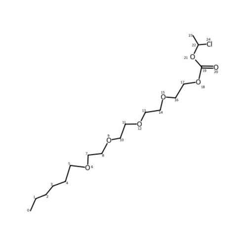 CCCCCCOCCOCCOCCOCCOC(=O)OC(C)Cl